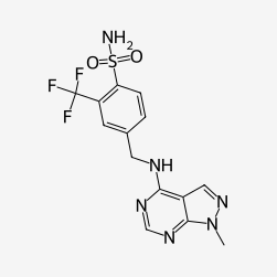 Cn1ncc2c(NCc3ccc(S(N)(=O)=O)c(C(F)(F)F)c3)ncnc21